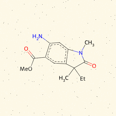 CCC1(C)C(=O)N(C)c2cc(N)c(C(=O)OC)cc21